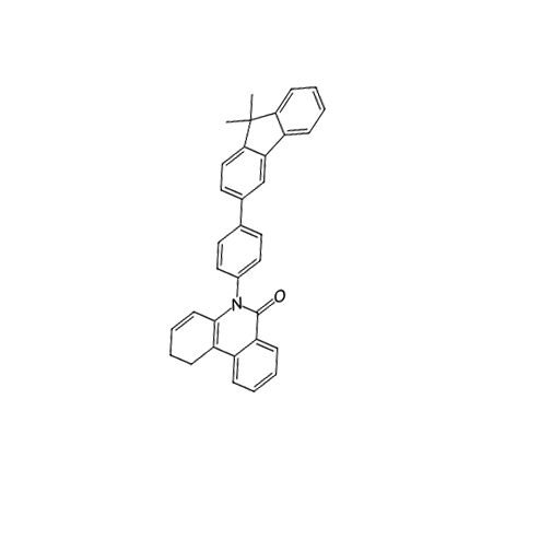 CC1(C)c2ccccc2-c2cc(-c3ccc(-n4c5c(c6ccccc6c4=O)CCC=C5)cc3)ccc21